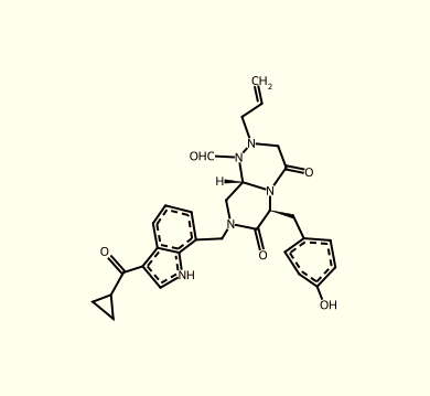 C=CCN1CC(=O)N2[C@@H](Cc3ccc(O)cc3)C(=O)N(Cc3cccc4c(C(=O)C5CC5)c[nH]c34)C[C@@H]2N1C=O